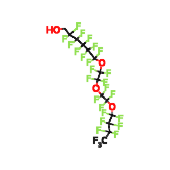 OCC(F)(F)C(F)(F)C(F)(F)C(F)(F)C(F)(F)OC(F)(F)C(F)(F)OC(F)(F)C(F)(F)OC(F)(F)C(F)(F)C(F)(F)C(F)(F)F